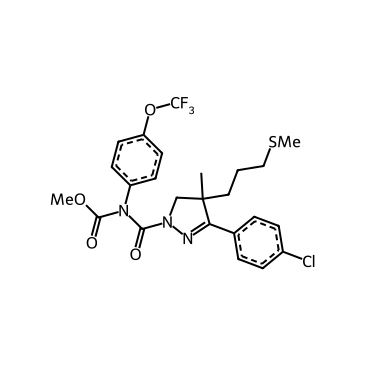 COC(=O)N(C(=O)N1CC(C)(CCCSC)C(c2ccc(Cl)cc2)=N1)c1ccc(OC(F)(F)F)cc1